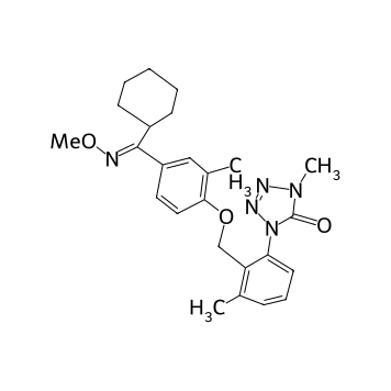 CON=C(c1ccc(OCc2c(C)cccc2-n2nnn(C)c2=O)c(C)c1)C1CCCCC1